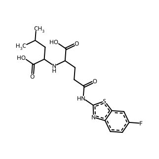 CC(C)CC(NC(CCC(=O)Nc1nc2ccc(F)cc2s1)C(=O)O)C(=O)O